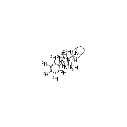 [2H]c1c([2H])c([2H])c([C@@]([2H])(N)C([2H])([2H])C([2H])([2H])N2C3CCC2CC(n2c(C)nnc2C(C)C)C3)c([2H])c1[2H]